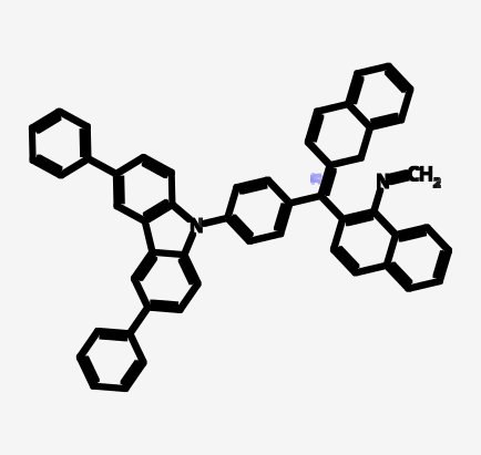 C=Nc1c(/C(=C2/C=Cc3ccccc3C2)c2ccc(-n3c4ccc(-c5ccccc5)cc4c4cc(-c5ccccc5)ccc43)cc2)ccc2ccccc12